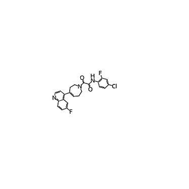 O=C(Nc1ccc(Cl)cc1F)C(=O)N1CCC=C(c2ccnc3ccc(F)cc23)CC1